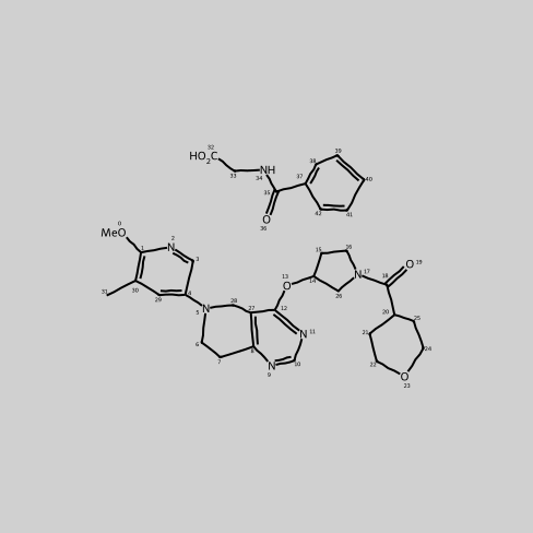 COc1ncc(N2CCc3ncnc(OC4CCN(C(=O)C5CCOCC5)C4)c3C2)cc1C.O=C(O)CNC(=O)c1ccccc1